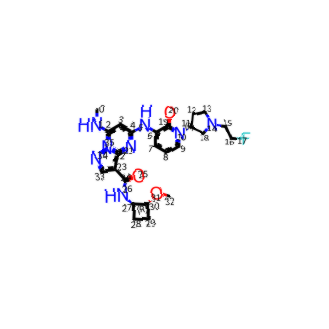 CNc1cc(Nc2cccn([C@@H]3CCN(CCF)C3)c2=O)nc2c(C(=O)NC3CC[C@H]3OC)cnn12